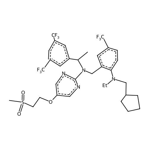 CCN(CC1CCCC1)c1ccc(C(F)(F)F)cc1CN(c1ncc(OCCS(C)(=O)=O)cn1)C(C)c1cc(C(F)(F)F)cc(C(F)(F)F)c1